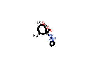 C/C1=C/CC[C@@]2(C)O[C@H]2[C@H]2OC(=O)[C@@H](CNc3nc4ccccc4[nH]3)[C@@H]2CC1